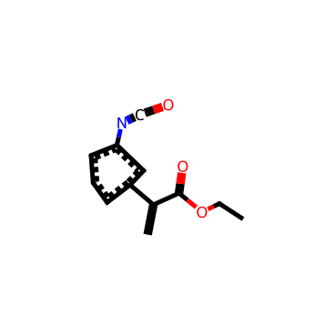 C=C(C(=O)OCC)c1cccc(N=C=O)c1